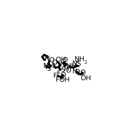 Nc1nc(/C(=N\OCC(=O)O)C(=O)NC2C(=O)N3C(C(=O)O)=C(CSc4scnc4C(=O)N4CCCC4)CS[C@H]23)cs1.O=C(O)C(F)(F)F